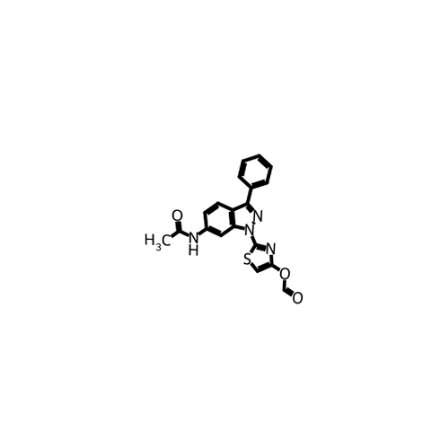 CC(=O)Nc1ccc2c(-c3ccccc3)nn(-c3nc(OC=O)cs3)c2c1